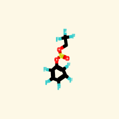 O=S(OCC(F)(F)F)Oc1c(F)c(F)c(F)c(F)c1F